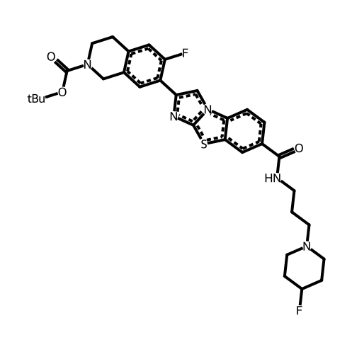 CC(C)(C)OC(=O)N1CCc2cc(F)c(-c3cn4c(n3)sc3cc(C(=O)NCCCN5CCC(F)CC5)ccc34)cc2C1